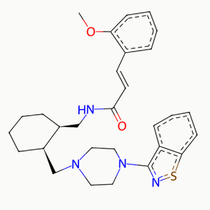 COc1ccccc1/C=C/C(=O)NC[C@@H]1CCCC[C@@H]1CN1CCN(c2nsc3ccccc23)CC1